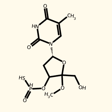 COC1(CO)O[C@@H](n2cc(C)c(=O)[nH]c2=O)CC1O[PH](=O)S